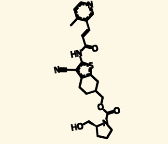 Cc1ccncc1/C=C/C(=O)Nc1sc2c(c1C#N)CCC(COC(=O)N1CCC[C@H]1CO)C2